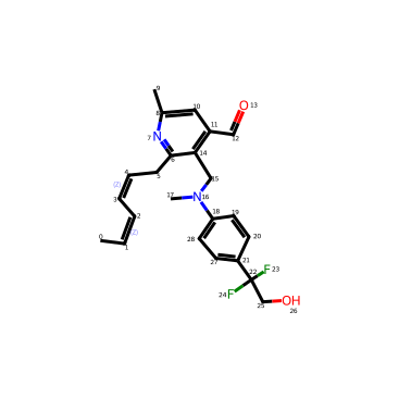 C/C=C\C=C/Cc1nc(C)cc(C=O)c1CN(C)c1ccc(C(F)(F)CO)cc1